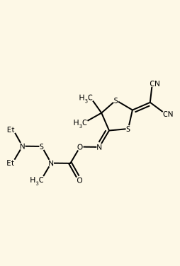 CCN(CC)SN(C)C(=O)ON=C1SC(=C(C#N)C#N)SC1(C)C